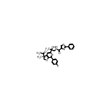 C[C@]1(C(N)=O)COc2c1cc(C(O)(CNC(=O)c1csc(-c3ccccc3)n1)C(F)(F)F)nc2-c1ccc(F)cc1